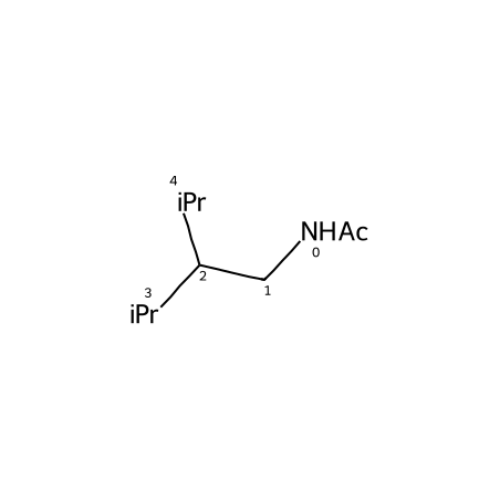 CC(=O)NCC(C(C)C)C(C)C